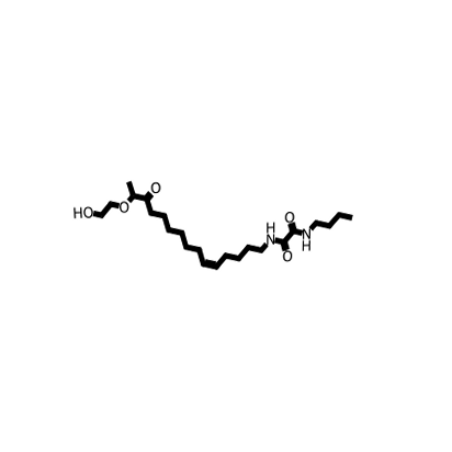 CCCCNC(=O)C(=O)NCCCC/C=C\CCCCCCC(=O)C(C)OCCO